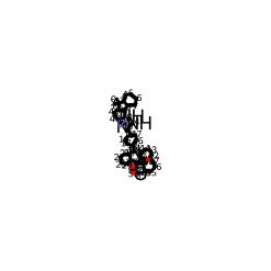 CC1(C)c2ccccc2-c2[nH]/c(=N\C(=N)c3ccc(N4c5ccccc5C5(c6ccccc6Oc6ccccc65)c5ccccc54)cc3)ccc21